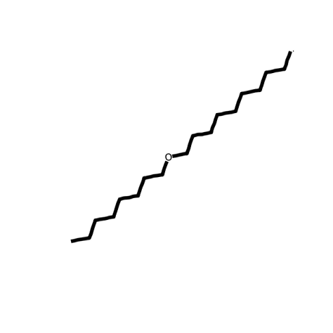 [CH2]CCCCCCCCCOCCCCCCCC